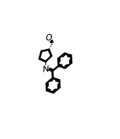 O=C[C@H]1CC[C@@H](N=C(c2ccccc2)c2ccccc2)C1